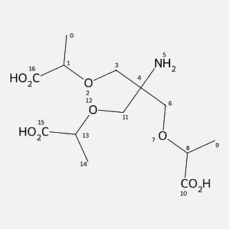 CC(OCC(N)(COC(C)C(=O)O)COC(C)C(=O)O)C(=O)O